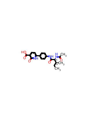 CC[C@H](C)[C@H](NC(C)=O)C(=O)Nc1ccc(-c2ccc(C(=O)O)c(=O)[nH]2)cc1